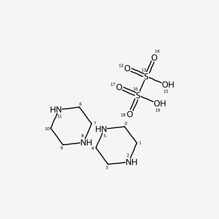 C1CNCCN1.C1CNCCN1.O=S(=O)(O)S(=O)(=O)O